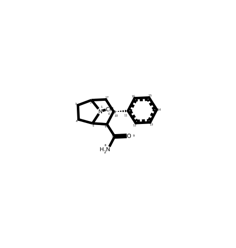 CN1C2CCC1C(C(N)=O)[C@@H](c1ccccc1)C2